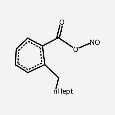 CCCCCCCCc1ccccc1C(=O)ON=O